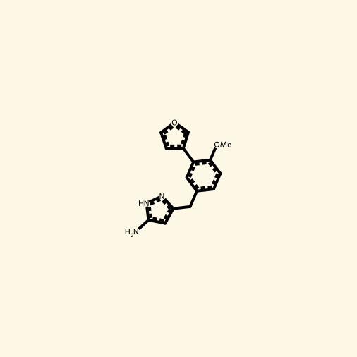 COc1ccc(Cc2cc(N)[nH]n2)cc1-c1ccoc1